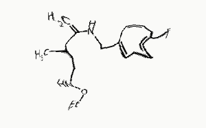 C=C(NCc1ccc(F)cc1)C(C)CNOCC